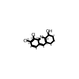 OC1CCCc2cc3ccc(Cl)c(Cl)c3nc21